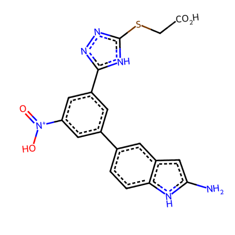 Nc1cc2cc(-c3cc(-c4nnc(SCC(=O)O)[nH]4)cc([N+](=O)O)c3)ccc2[nH]1